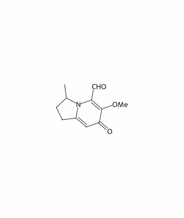 COc1c(C=O)n2c(cc1=O)CCC2C